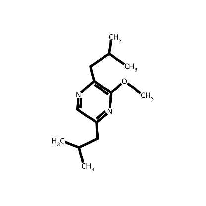 COc1nc(CC(C)C)cnc1CC(C)C